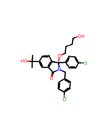 CC(C)(O)c1ccc2c(c1)C(=O)N(Cc1ccc(Cl)cc1)[C@@]2(OCCCCO)c1ccc(Cl)cc1